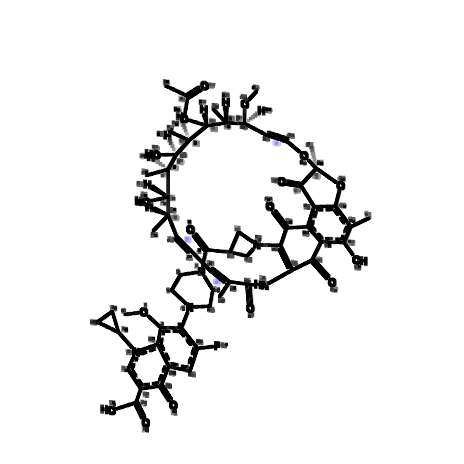 COc1c(N2CCN(C(=O)C3CN(C4=C5NC(=O)/C(C)=C\C=C\[C@H](C)[C@H](O)[C@@H](C)[C@@H](O)[C@@H](C)[C@H](OC(C)=O)[C@H](C)[C@@H](OC)/C=C/O[C@@]6(C)Oc7c(C)c(O)c(c(c7C6=O)C4=O)C5=O)C3)CC2)c(F)cc2c(=O)c(C(=O)O)cn(C3CC3)c12